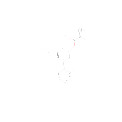 C=C(CCC)C(=O)OCCC(C=C(C)C(=O)O)c1ccccc1